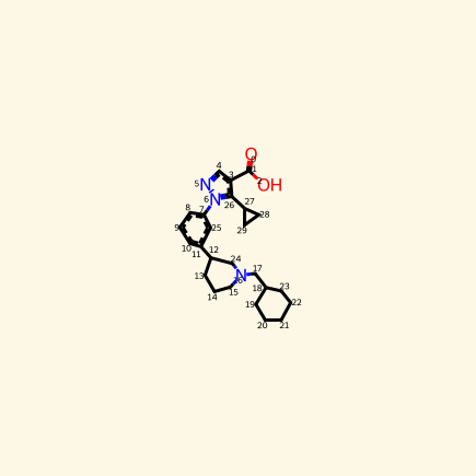 O=C(O)c1cnn(-c2cccc(C3CCCN(CC4CCCCC4)C3)c2)c1C1CC1